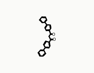 O=C(CC(=O)c1ccc(-c2ccccc2)cc1)c1ccc(-c2ccccc2)cc1